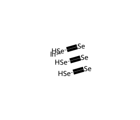 [In+3].[Se]=[SeH-].[Se]=[SeH-].[Se]=[SeH-]